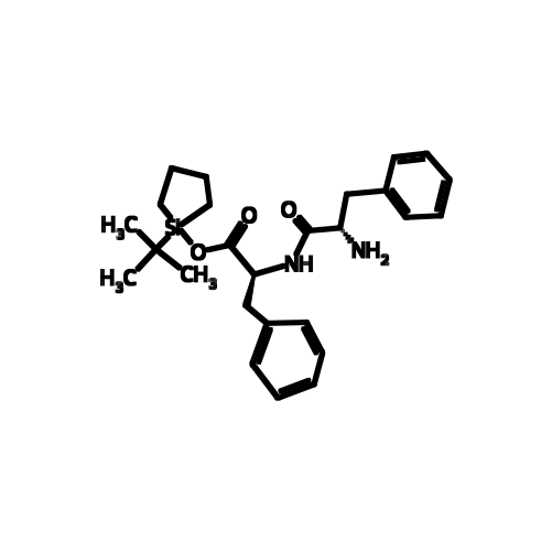 CC(C)(C)[Si]1(OC(=O)[C@H](Cc2ccccc2)NC(=O)[C@@H](N)Cc2ccccc2)CCCC1